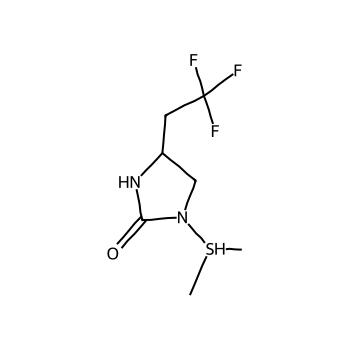 C[SH](C)N1CC(CC(F)(F)F)NC1=O